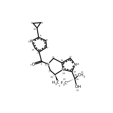 C[C@H]1CN(C(=O)c2ccc(C3CC3)nc2)Cc2cnc([C@@](C)(O)C(F)(F)F)n21